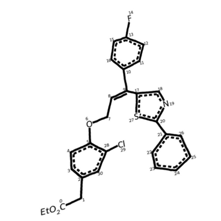 CCOC(=O)Cc1ccc(OCC=C(c2ccc(F)cc2)c2cnc(-c3ccccc3)s2)c(Cl)c1